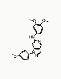 COc1ccc(-n2ncc3cnc(Nc4ccc(OC)c(OC)c4)nc32)cc1